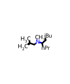 C=C(C)CN(C)C(CCC)CC(C)CC